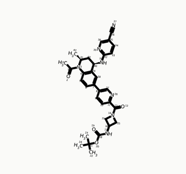 CC(=O)N1c2ccc(-c3ccc(C(=O)N4CC(NC(=O)OC(C)(C)C)C4)nc3)cc2[C@H](Nc2ccc(C#N)cn2)C[C@@H]1C